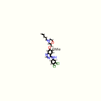 C=CCCCN1CCOC(COc2cc3ncnc(Nc4ccc(Cl)c(Cl)c4)c3cc2OC)C1